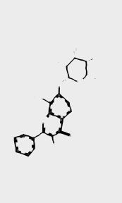 COc1c(O[C@@H]2O[C@@H](C)[C@H](O)[C@@H](O)[C@H]2O)ccc2c(=O)c(O)c(-c3ccccc3)oc12